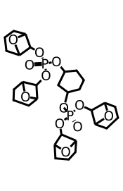 O=P(OC1CCCC(OP(=O)(OC2C3CCCC2O3)OC2C3CCCC2O3)C1)(OC1C2CCCC1O2)OC1C2CCCC1O2